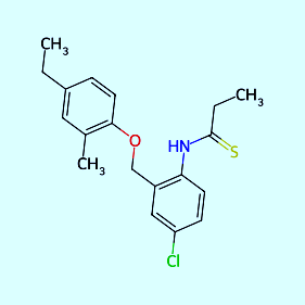 CCC(=S)Nc1ccc(Cl)cc1COc1ccc(CC)cc1C